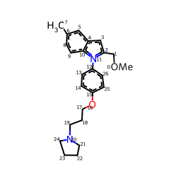 COCc1cc2cc(C)ccc2n1-c1ccc(OCCCN2CCCC2)cc1